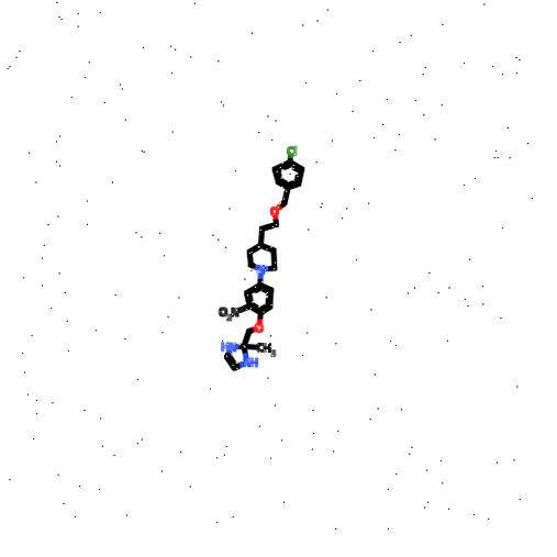 CC1(COc2ccc(N3CCC(CCOCc4ccc(Cl)cc4)CC3)cc2[N+](=O)[O-])NC=CN1